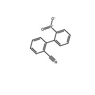 N#Cc1[c]cccc1-c1ccccc1[N+](=O)[O-]